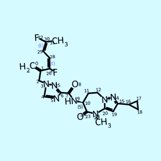 C=C(Cn1cnc(C(=O)N[C@H]2CCn3nc(C4CC4)cc3N(C)C2=O)n1)/C(F)=C\C=C(/C)F